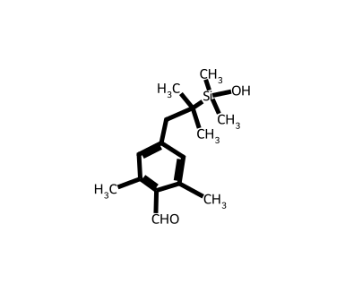 Cc1cc(CC(C)(C)[Si](C)(C)O)cc(C)c1C=O